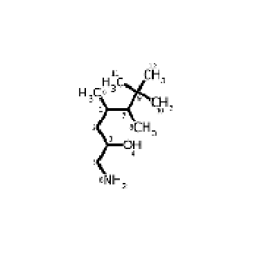 CC(CC(O)CN)C(C)C(C)(C)C